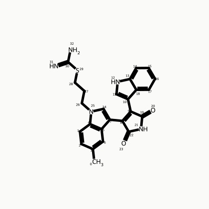 Cc1ccc2c(c1)c(C1=C(c3c[nH]c4ccccc34)C(=O)NC1=O)cn2CCCSC(=N)N